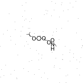 CCNC(=O)OCCOc1ccc(OCC=C(C)C)cc1